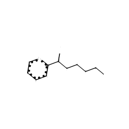 CCCCCC(S)c1ccccn1